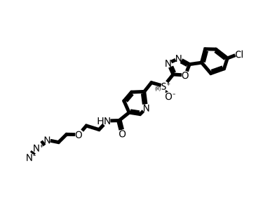 [N-]=[N+]=NCCOCCNC(=O)c1ccc(C[S@+]([O-])c2nnc(-c3ccc(Cl)cc3)o2)nc1